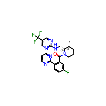 C[C@@H]1CCCN(C(=O)c2cc(F)ccc2-c2ncccn2)[C@@H]1CNc1ncc(C(F)(F)F)cn1